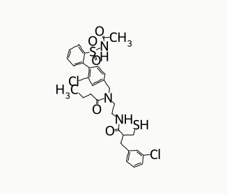 CCCC(=O)N(CCNC(=O)C(CS)Cc1cccc(Cl)c1)Cc1ccc(-c2ccccc2S(=O)(=O)NC(C)=O)c(Cl)c1